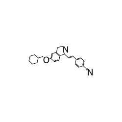 N#Cc1ccc(C=CC2=NCCc3cc(OCC4CCCCC4)ccc32)cc1